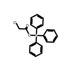 O=C(CCl)OS(c1ccccc1)(c1ccccc1)c1ccccc1